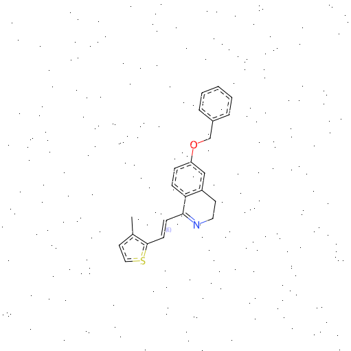 Cc1ccsc1/C=C/C1=NCCc2cc(OCc3ccccc3)ccc21